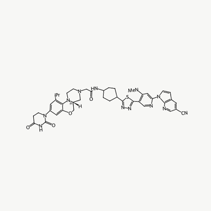 CNc1cc(-n2ccc3cc(C#N)cnc32)ncc1-c1nnc(C2CCC(NC(=O)CN3CCN4c5c(cc(N6CCC(=O)NC6=O)cc5C(C)C)OC[C@H]4C3)CC2)s1